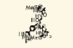 COC(=O)NC(C(=O)NC[C@@H](O)CN(Cc1ccc(/C(C=N)=C/NC(F)F)cc1)NC(=O)[C@@H](NC(=O)OC)C(C)(C)C(F)(F)F)C(C)(C)C(F)(F)F